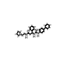 N=C(Nc1ccc(-c2ccccc2)cc1)NC(CC(=O)NCCN1CCCC1)c1ccccc1